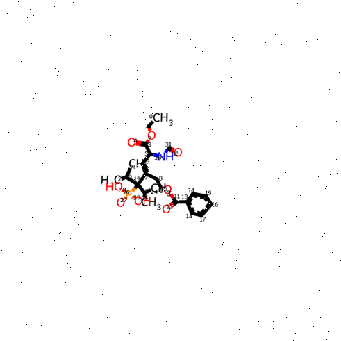 CCOC(=O)C(C=C(CCOC(=O)c1ccccc1)C(C(C)C)(C(C)C)P(=O)(O)O)NC=O